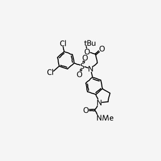 CNC(=O)N1CCc2cc(N(CC(=O)OC(C)(C)C)S(=O)(=O)c3cc(Cl)cc(Cl)c3)ccc21